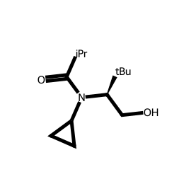 CC(C)C(=O)N(C1CC1)[C@H](CO)C(C)(C)C